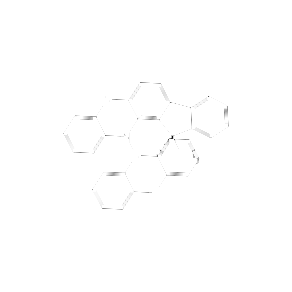 CC1(C)c2ccccc2-c2ccc3c(c21)N(B1c2ccccc2Oc2ccccc21)c1ccccc1S3